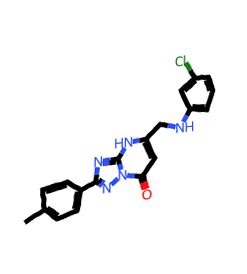 Cc1ccc(-c2nc3[nH]c(CNc4cccc(Cl)c4)cc(=O)n3n2)cc1